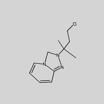 CC(C)(CCCl)N1CN2C=CC=CC2=N1